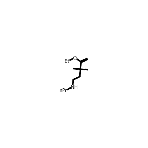 C=C(OCC)C(C)(C)CCNCCC